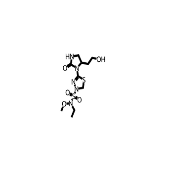 CCN(OC)S(=O)(=O)N1CSC(N2C(=O)NCC2CCO)=N1